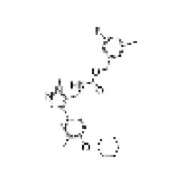 Cc1nc(-c2cnn(C)c2CNC(=O)OCc2cc(F)cc(F)c2)ccc1OC1CCCCC1